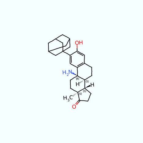 C[C@]12CC[C@]3(N)c4cc(C56CC7CC(CC(C7)C5)C6)c(O)cc4CC[C@H]3[C@@H]1CCC2=O